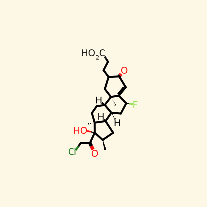 C[C@@H]1C[C@H]2[C@@H]3C[C@H](F)C4=CC(=O)C(CCC(=O)O)C[C@]4(C)[C@H]3CC[C@]2(C)[C@@]1(O)C(=O)CCl